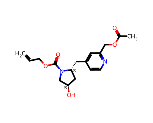 C=CCOC(=O)N1C[C@H](O)C[C@H]1Cc1ccnc(COC(C)=O)c1